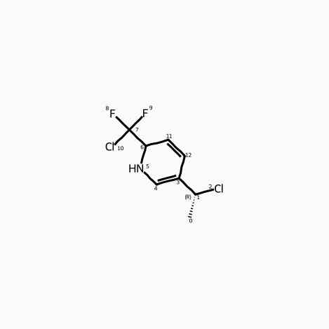 C[C@@H](Cl)C1=CNC(C(F)(F)Cl)C=C1